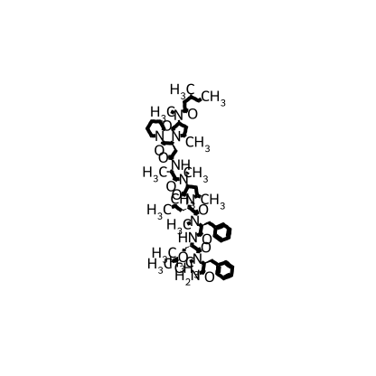 CC[C@H](C)CC(=O)N(C)[C@H]1CC(C)N([C@@H](CC(=O)N[C@@H](C)C(=O)N(C)[C@H]2CC(C)N([C@@H](CC(C)C)C(=O)N(C)[C@@H](Cc3ccccc3)C(=O)N[C@@H](COC(C)(C)C)C(=O)N(C)[C@@H](Cc3ccccc3)C(N)=O)C2=O)C(=O)N2CCCCC2)C1=O